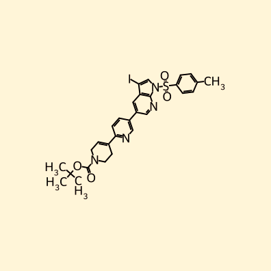 Cc1ccc(S(=O)(=O)n2cc(I)c3cc(-c4ccc(C5=CCN(C(=O)OC(C)(C)C)CC5)nc4)cnc32)cc1